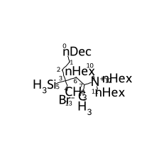 CCCCCCCCCCCCC(C)([SiH3])CC(C)[N+](CCCCCC)(CCCCCC)CCCCCC.[Br-]